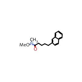 CON(C)C(=O)CCCCc1ccc2ccccc2c1